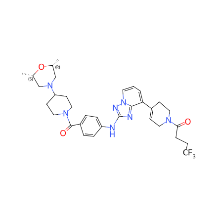 C[C@@H]1CN(C2CCN(C(=O)c3ccc(Nc4nc5c(C6=CCN(C(=O)CCC(F)(F)F)CC6)cccn5n4)cc3)CC2)C[C@H](C)O1